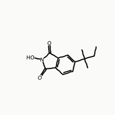 CCC(C)(C)c1ccc2c(c1)C(=O)N(O)C2=O